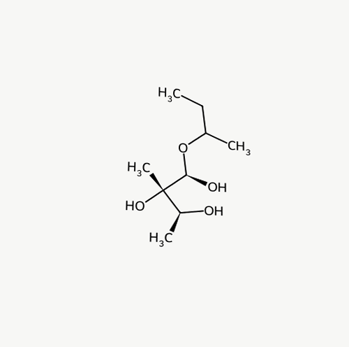 CCC(C)O[C@@H](O)[C@@](C)(O)[C@H](C)O